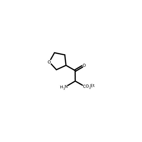 CCOC(=O)C(N)C(=O)C1CCOC1